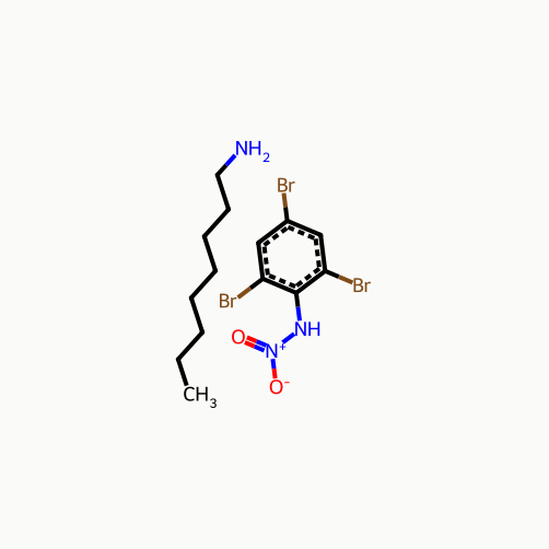 CCCCCCCCN.O=[N+]([O-])Nc1c(Br)cc(Br)cc1Br